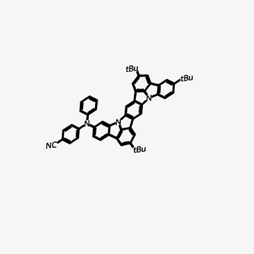 CC(C)(C)c1ccc2c(c1)c1cc(C(C)(C)C)cc3c4cc5c(cc4n2c13)c1cc(C(C)(C)C)cc2c3ccc(N(c4ccccc4)c4ccc(C#N)cc4)cc3n5c21